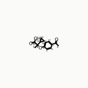 CC(=O)c1ccc(OC(C)(C(=O)O)C2CC2)cc1